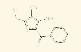 CCSc1sc(C(=O)c2ccccc2)c(N)c1C#N